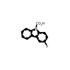 O=C(O)n1c2ccccc2c2cc(F)ccc21